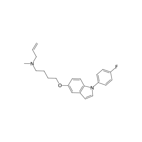 C=CCN(C)CCCCOc1ccc2c(ccn2-c2ccc(F)cc2)c1